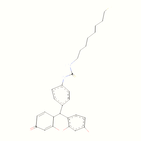 O=C1C=CC2C(=C1)Oc1cc(O)ccc1C2c1ccc(NC(=S)NCCCCCCCCS)cc1